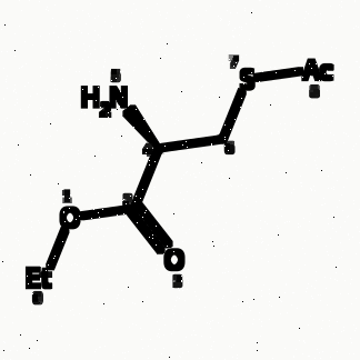 CCOC(=O)[C@@H](N)CSC(C)=O